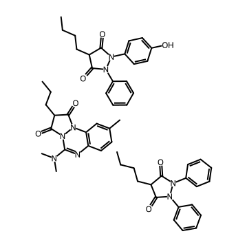 CCCC1C(=O)N2C(N(C)C)=Nc3ccc(C)cc3N2C1=O.CCCCC1C(=O)N(c2ccccc2)N(c2ccc(O)cc2)C1=O.CCCCC1C(=O)N(c2ccccc2)N(c2ccccc2)C1=O